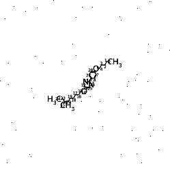 CCCCCOc1ccc(-c2ncc(OCCCCCCC(C)CC)cn2)cc1